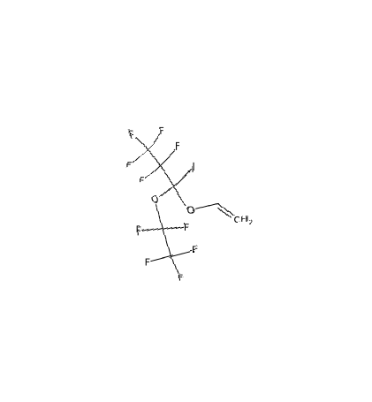 C=COC(I)(OC(F)(F)C(F)(F)F)C(F)(F)C(F)(F)F